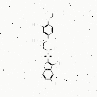 CCCN(C[C@@H](C)Sc1ccc(OCC(=O)OCC)c(C)c1)S(=O)(=O)c1sc2ccc(C(F)(F)F)cc2c1C